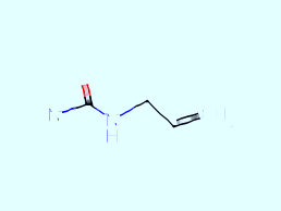 C=CCNC([N])=O